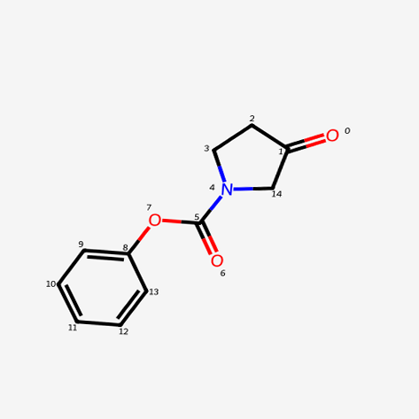 O=C1CCN(C(=O)Oc2ccccc2)C1